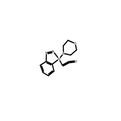 O=C=C[N+]1(N2CCOCC2)N=Nc2[c]cccc21